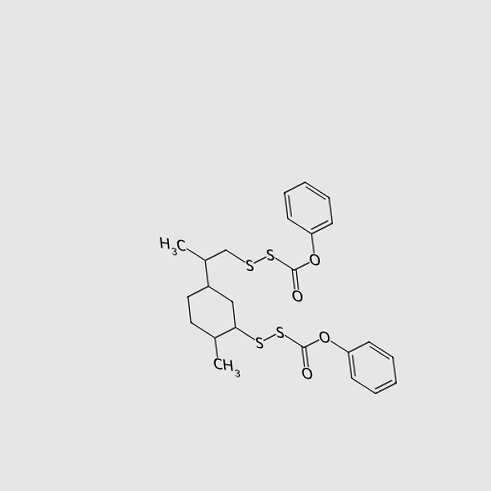 CC(CSSC(=O)Oc1ccccc1)C1CCC(C)C(SSC(=O)Oc2ccccc2)C1